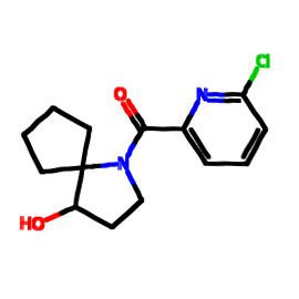 O=C(c1cccc(Cl)n1)N1CCC(O)C12CCCC2